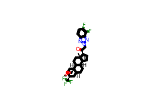 COC[C@]12CC[C@H](C(F)(F)F)C[C@H]1CC[C@H]1[C@@H]3CC[C@H](C(=O)Cn4nc5ccc(F)c(F)c5n4)[C@@]3(C)CC[C@@H]12